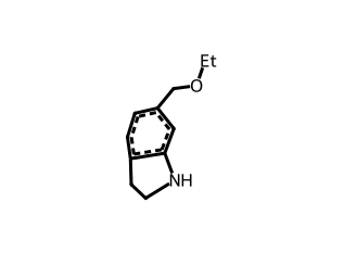 CCOCc1ccc2c(c1)NCC2